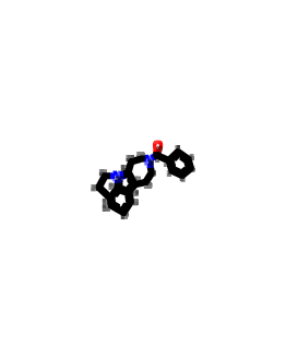 O=C(c1ccccc1)N1CCc2c(n3c4c(cccc24)CC3)CC1